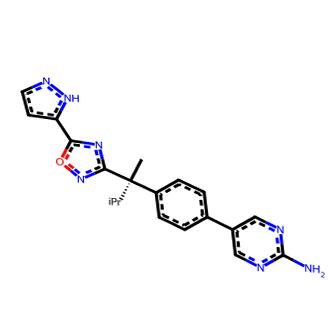 CC(C)[C@](C)(c1ccc(-c2cnc(N)nc2)cc1)c1noc(-c2ccn[nH]2)n1